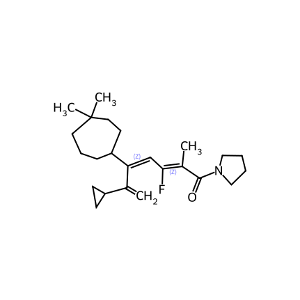 C=C(/C(=C\C(F)=C(/C)C(=O)N1CCCC1)C1CCCC(C)(C)CC1)C1CC1